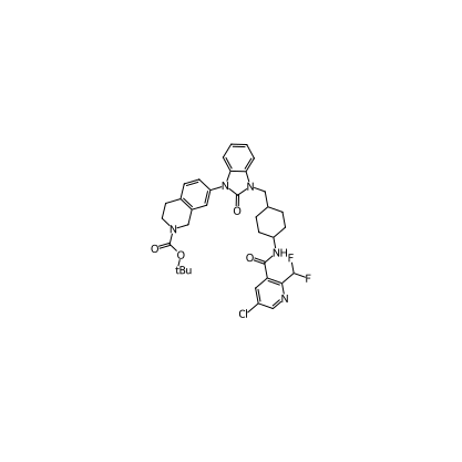 CC(C)(C)OC(=O)N1CCc2ccc(-n3c(=O)n(CC4CCC(NC(=O)c5cc(Cl)cnc5C(F)F)CC4)c4ccccc43)cc2C1